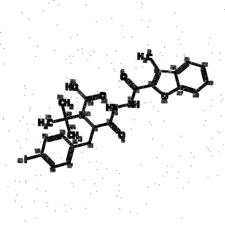 Cc1c(C(=O)NNC(=O)C(Cc2ccc(I)cc2)N(C(=O)O)C(C)(C)C)oc2ccccc12